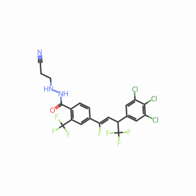 N#CCCNNC(=O)c1ccc(/C(F)=C/C(c2cc(Cl)c(Cl)c(Cl)c2)C(F)(F)F)cc1C(F)(F)F